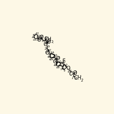 C=CC(=O)OCCOc1ccc2c(c1)C(F)c1cc(OC(=O)c3ccc(OCCCOC(=O)C(=C)CC(=O)OC4CCCCC4)cc3)ccc1-2